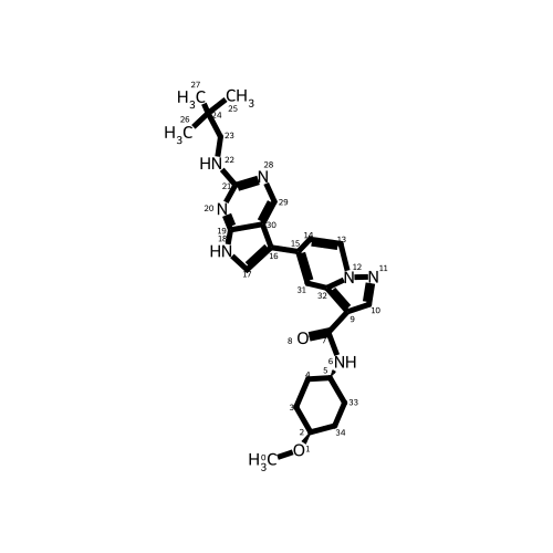 CO[C@H]1CC[C@H](NC(=O)c2cnn3ccc(-c4c[nH]c5nc(NCC(C)(C)C)ncc45)cc23)CC1